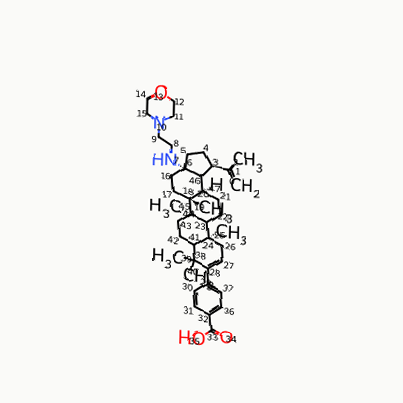 C=C(C)[C@@H]1CC[C@]2(NCCN3CCOCC3)CC[C@]3(C)[C@H](CCC4[C@@]5(C)CC=C(c6ccc(C(=O)O)cc6)C(C)(C)C5CC[C@]43C)C12